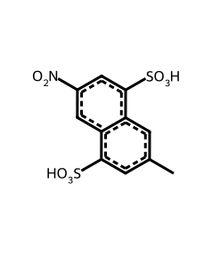 Cc1cc(S(=O)(=O)O)c2cc([N+](=O)[O-])cc(S(=O)(=O)O)c2c1